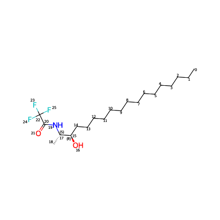 CCCCCCCCCCCCCCC[C@@H](O)[C@H](C)NC(=O)C(F)(F)F